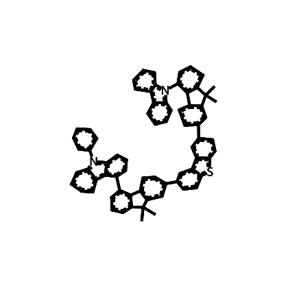 CC1(C)c2cc(-c3ccc4sc5ccc(-c6ccc7c(c6)C(C)(C)c6cccc(-n8c9ccccc9c9ccccc98)c6-7)cc5c4c3)ccc2-c2c(-c3cccc4c3c3ccccc3n4-c3ccccc3)cccc21